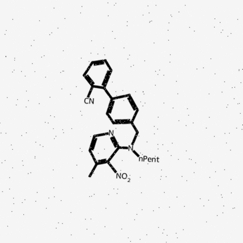 CCCCCN(Cc1ccc(-c2ccccc2C#N)cc1)c1nccc(C)c1[N+](=O)[O-]